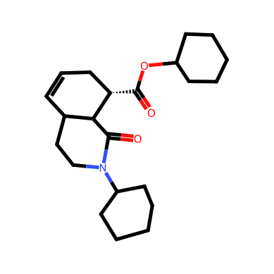 O=C(OC1CCCCC1)[C@H]1CC=CC2CCN(C3CCCCC3)C(=O)C21